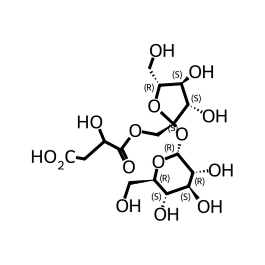 O=C(O)CC(O)C(=O)OC[C@@]1(O[C@H]2O[C@H](CO)[C@@H](O)[C@H](O)[C@H]2O)O[C@H](CO)[C@@H](O)[C@@H]1O